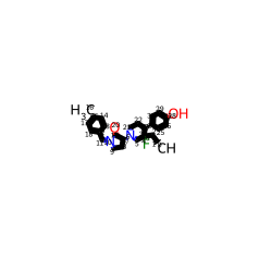 C#CC[C@]1(F)CN([C@@H]2CCN(Cc3ccc(C)cc3)C2=O)CC[C@H]1c1ccc(O)cc1